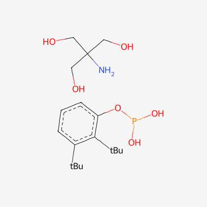 CC(C)(C)c1cccc(OP(O)O)c1C(C)(C)C.NC(CO)(CO)CO